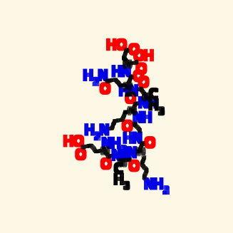 C[C@H](NC(=O)[C@H](CCCCN)NC(=O)CNC(=O)[C@H](CCCCN)NC(=O)[C@H](C)NC(=O)[C@@H](N)CCC(=O)O)C(=O)N[C@@H](CCC(N)=O)C(=O)N[C@@H](CC(=O)O)C(=O)O